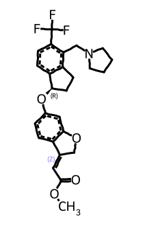 COC(=O)/C=C1\COc2cc(O[C@@H]3CCc4c3ccc(C(F)(F)F)c4CN3CCCC3)ccc21